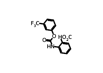 O=C(Nc1ccccc1C(=O)O)Oc1cccc(C(F)(F)F)c1